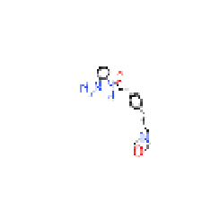 Nc1ccccc1NC(=O)CCc1ccc(C=CCN2CCOCC2)cc1